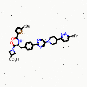 CCCc1ccc(C2CCN(c3cnc(-c4ccc(C[C@H](NC(=O)c5ccc(C(C)(C)C)s5)C(=O)N5CC(C(=O)O)C5)cc4)nc3)CC2)nn1